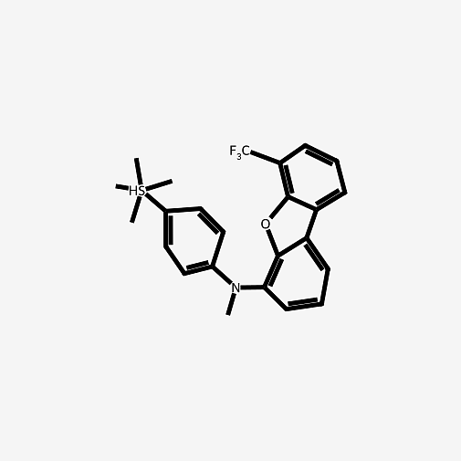 CN(c1ccc([SH](C)(C)(C)C)cc1)c1cccc2c1oc1c(C(F)(F)F)cccc12